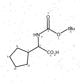 CC(C)(C)OC(=O)NC(C(=O)O)C1CCCC1